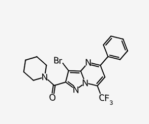 O=C(c1nn2c(C(F)(F)F)cc(-c3ccccc3)nc2c1Br)N1CCCCC1